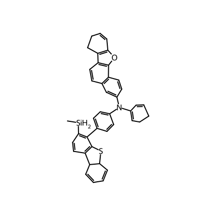 C[SiH2]c1ccc2c(c1-c1ccc(N(C3=CCCC=C3)c3ccc4c(ccc5c6c(oc54)C=CCC6)c3)cc1)SC1C=CC=CC21